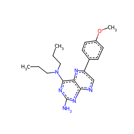 CCCN(CCC)c1nc(N)nc2ncc(-c3ccc(OC)cc3)nc12